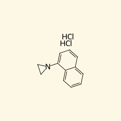 Cl.Cl.c1ccc2c(N3CC3)cccc2c1